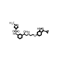 Cn1cc(S(=O)(=O)Nc2cccc(C(O)CNCCOc3ccc4c(C5CC5)n[nH]c4c3)c2)cn1